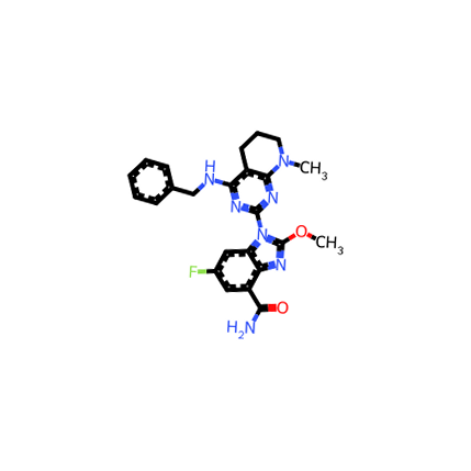 COc1nc2c(C(N)=O)cc(F)cc2n1-c1nc(NCc2ccccc2)c2c(n1)N(C)CCC2